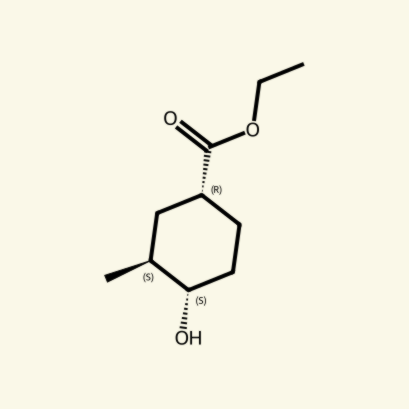 CCOC(=O)[C@@H]1CC[C@H](O)[C@@H](C)C1